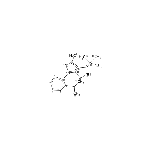 Cc1nn(-c2ccccc2C(C)C)c2c1C(C(C)(C)C)NC2